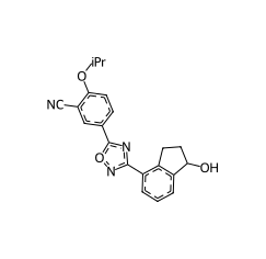 CC(C)Oc1ccc(-c2nc(-c3cccc4c3CCC4O)no2)cc1C#N